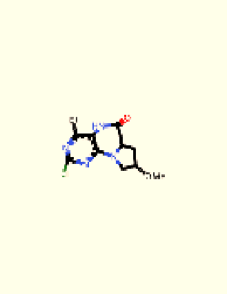 CCc1nc(Cl)nc2c1NC(=O)C1CC(OC)CN21